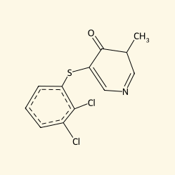 CC1C=NC=C(Sc2cccc(Cl)c2Cl)C1=O